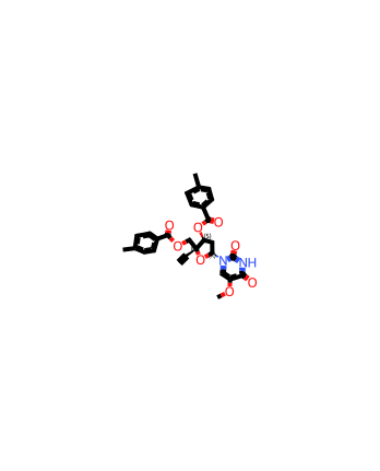 C#C[C@]1(COC(=O)c2ccc(C)cc2)O[C@@H](n2cc(OC)c(=O)[nH]c2=O)C[C@@H]1OC(=O)c1ccc(C)cc1